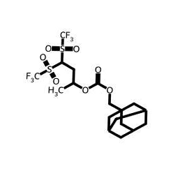 CC(CC(S(=O)(=O)C(F)(F)F)S(=O)(=O)C(F)(F)F)OC(=O)OCC12CC3CC(CC(C3)C1)C2